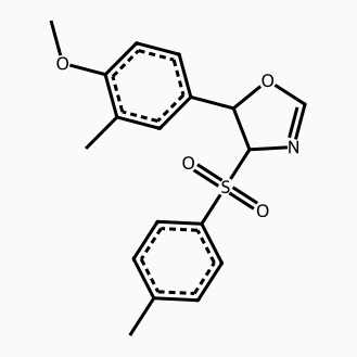 COc1ccc(C2OC=NC2S(=O)(=O)c2ccc(C)cc2)cc1C